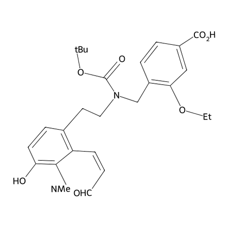 CCOc1cc(C(=O)O)ccc1CN(CCc1ccc(O)c(NC)c1/C=C\C=O)C(=O)OC(C)(C)C